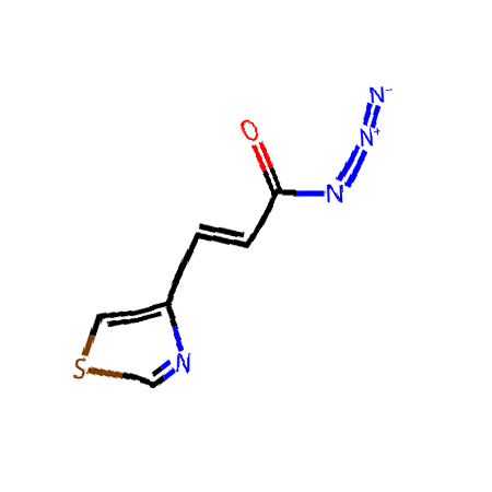 [N-]=[N+]=NC(=O)/C=C/c1cscn1